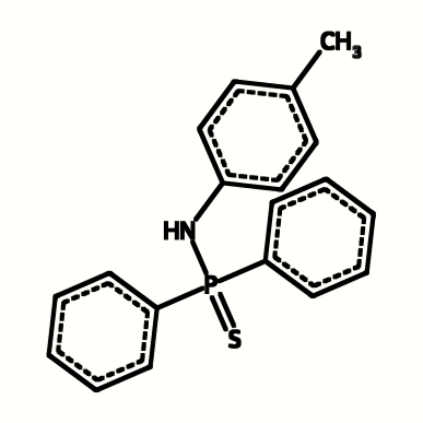 Cc1ccc(NP(=S)(c2ccccc2)c2ccccc2)cc1